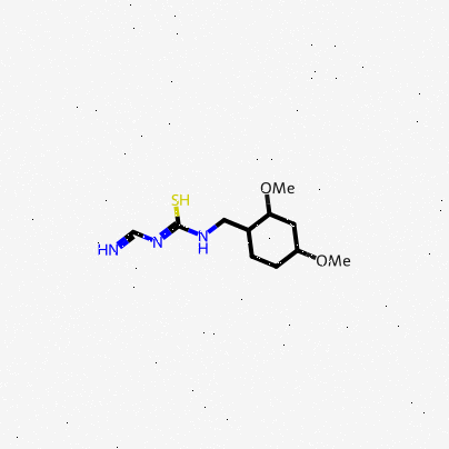 COC1CCC(CN/C(S)=N/C=N)C(OC)C1